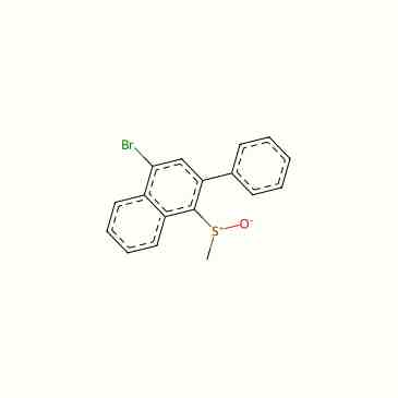 C[S+]([O-])c1c(-c2ccccc2)cc(Br)c2ccccc12